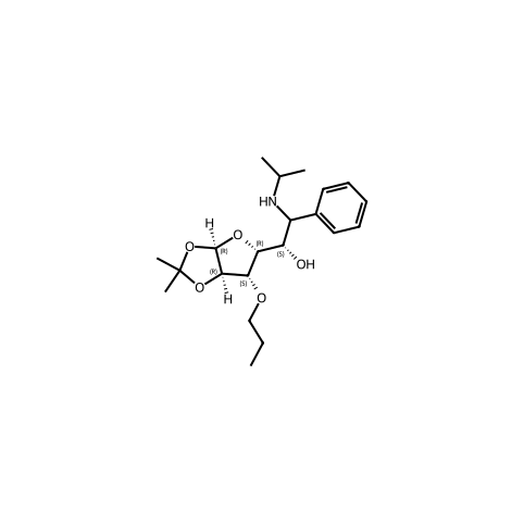 CCCO[C@@H]1[C@H]2OC(C)(C)O[C@H]2O[C@@H]1[C@@H](O)C(NC(C)C)c1ccccc1